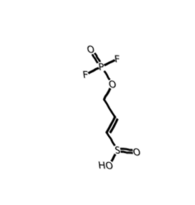 O=S(O)/C=C/COP(=O)(F)F